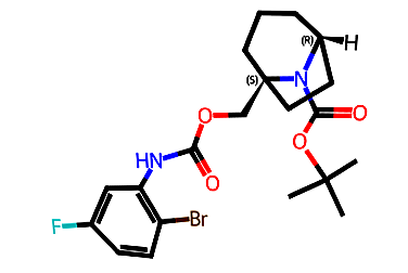 CC(C)(C)OC(=O)N1[C@@H]2CCC[C@@]1(COC(=O)Nc1cc(F)ccc1Br)CC2